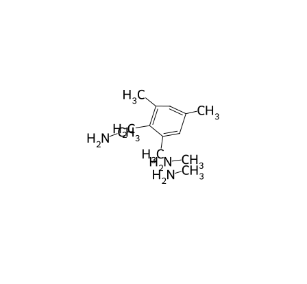 CN.CN.CN.[CH2]c1c(C)cc(C)cc1C